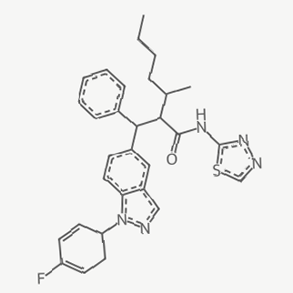 CCCCC(C)C(C(=O)Nc1nncs1)C(c1ccccc1)c1ccc2c(cnn2C2C=CC(F)=CC2)c1